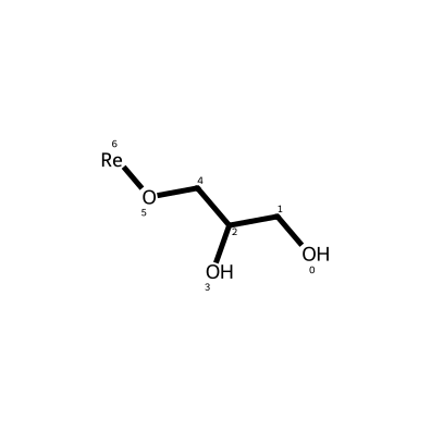 OCC(O)C[O][Re]